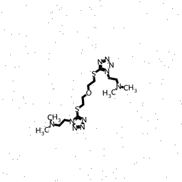 CN(C)CCn1nnnc1SCCOCCSc1nnnn1CCN(C)C